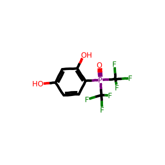 O=P(c1ccc(O)cc1O)(C(F)(F)F)C(F)(F)F